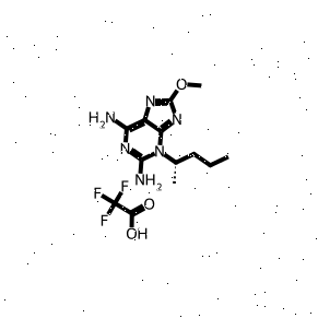 CCC[C@H](C)n1c(N)nc(N)c2nc(OC)nc1-2.O=C(O)C(F)(F)F